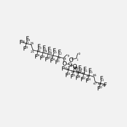 CCO[Si](OCC)(OC(C)C(F)(F)C(F)(F)C(F)(F)C(F)(F)C(F)(F)CCC(F)(F)F)C(F)(F)C(F)(F)C(F)(F)C(F)(F)C(F)(F)CCC(F)(F)F